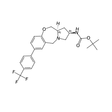 CC(C)(C)OC(=O)N[C@@H]1C[C@@H]2COc3ccc(-c4ccc(C(F)(F)F)cc4)cc3CN2C1